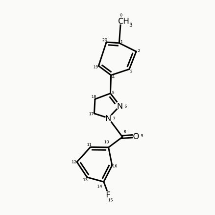 Cc1ccc(C2=NN(C(=O)c3cccc(F)c3)CC2)cc1